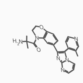 Cc1cnccc1-c1c(-c2ccc3c(c2)N(C(=O)C(C)(C)N)CCO3)nc2ncccn12